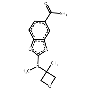 CN(c1nc2cc(C(N)=O)ccc2o1)C1(C)COC1